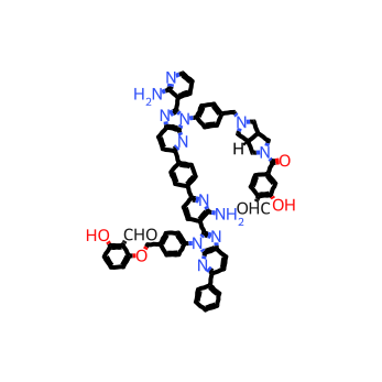 Nc1ncccc1-c1nc2ccc(-c3ccc(-c4ccc(-c5nc6ccc(-c7ccccc7)nc6n5-c5ccc(COc6cccc(O)c6C=O)cc5)c(N)n4)cc3)nc2n1-c1ccc(CN2CC3CN(C(=O)c4ccc(C=O)c(O)c4)C[C@@H]3C2)cc1